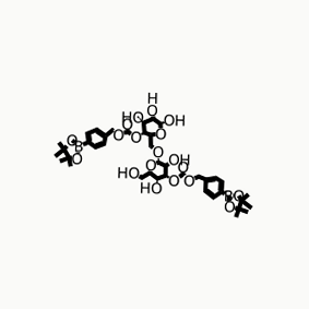 CC1(C)OB(c2ccc(COC(=O)O[C@@H]3C(CO[C@H]4OC(CO)[C@@H](O)[C@H](OC(=O)OCc5ccc(B6OC(C)(C)C(C)(C)O6)cc5)C4O)O[C@H](O)C(O)[C@H]3O)cc2)OC1(C)C